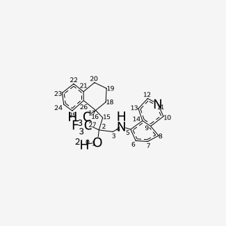 [2H]OC(CNc1cccc2cnccc12)(CC1(C)CCCc2ccccc21)C(F)(F)F